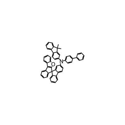 CC1(C)c2ccccc2-c2ccc(N(c3ccc(-c4ccccc4)cc3)c3ccc4c(c3)C3(c5ccccc5-4)c4ccccc4-c4c3oc3ccccc43)cc21